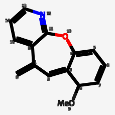 C=C1C=C2C(=CC=CC2OC)Oc2ncccc21